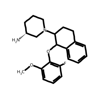 COc1cccc(F)c1OC1c2ccccc2CCC1N1CCC[C@@H](N)C1